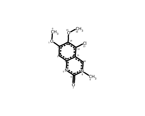 COc1cc2nc(=O)n(C)cc2c(Cl)c1OC